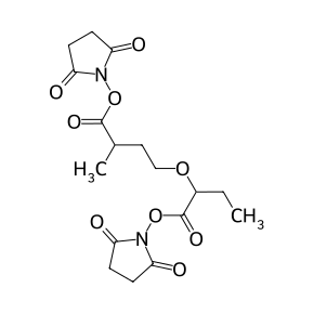 CCC(OCCC(C)C(=O)ON1C(=O)CCC1=O)C(=O)ON1C(=O)CCC1=O